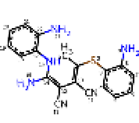 CC(Sc1ccccc1N)=C(C#N)C(C#N)=C(N)Nc1ccccc1N